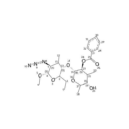 CCC1O[C@H](OC)[C@@H](N=[N+]=[N-])C(C)[C@@H]1O[C@H]1OC(C)[C@@H](O)C(C)[C@@H]1OC(=O)c1ccccc1